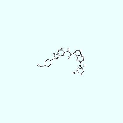 O=CC1CCC(n2cc3cc(NC(=O)c4cnn5ccc(N6C[C@H]7C[C@@H]6CO7)nc45)ncc3n2)CC1